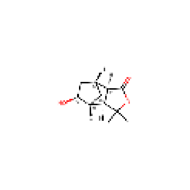 CC1(C)OC(=O)[C@@H]2[C@@H]3C[C@H]([C@@H]21)[C@@H](O)C3